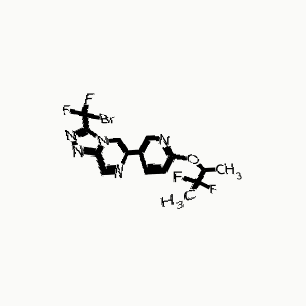 CC(Oc1ccc(-c2cn3c(C(F)(F)Br)nnc3cn2)cn1)C(C)(F)F